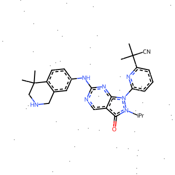 CC(C)n1c(=O)c2cnc(Nc3ccc4c(c3)CNCC4(C)C)nc2n1-c1cccc(C(C)(C)C#N)n1